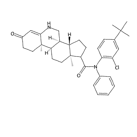 CC(C)(C)c1ccc(N(C(=O)C2CC[C@H]3[C@@H]4CNC5=CC(=O)CC[C@]5(C)[C@@H]4CC[C@]23C)c2ccccc2)c(Cl)c1